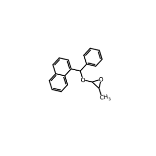 CC1OC1OC(c1ccccc1)c1cccc2ccccc12